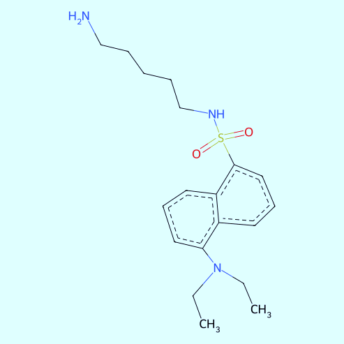 CCN(CC)c1cccc2c(S(=O)(=O)NCCCCCN)cccc12